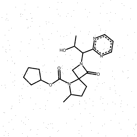 CC(O)C(c1ncccn1)N1CC2(CCC(C)N2C(=O)OC2CCCC2)C1=O